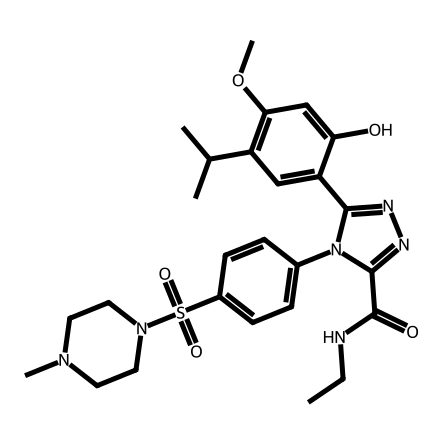 CCNC(=O)c1nnc(-c2cc(C(C)C)c(OC)cc2O)n1-c1ccc(S(=O)(=O)N2CCN(C)CC2)cc1